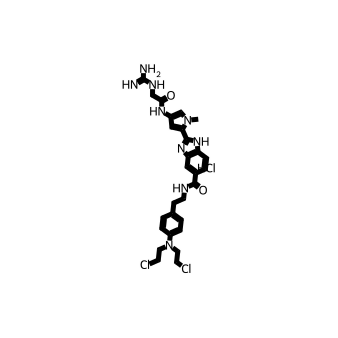 Cl.Cn1cc(NC(=O)CNC(=N)N)cc1-c1nc2cc(C(=O)NCCc3ccc(N(CCCl)CCCl)cc3)ccc2[nH]1